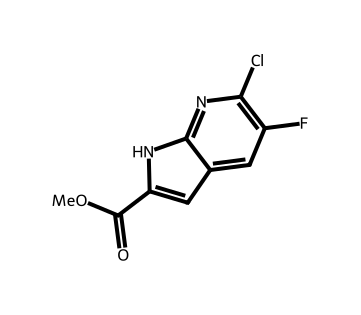 COC(=O)c1cc2cc(F)c(Cl)nc2[nH]1